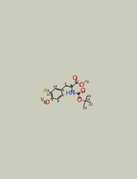 COC(=O)[C@H](Cc1ccc(OC)c(F)c1)NC(=O)OC(C)(C)C